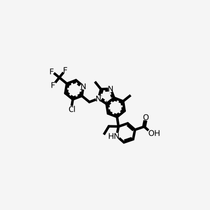 CCC1(c2cc(C)c3nc(C)n(Cc4ncc(C(F)(F)F)cc4Cl)c3c2)C=C(C(=O)O)C=CN1